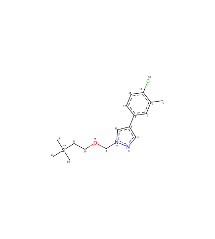 Cc1cc(-c2cnn(COCC[Si](C)(C)C)c2)ccc1Cl